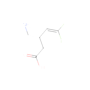 NC[C@H](C=C(F)F)CC(=O)O